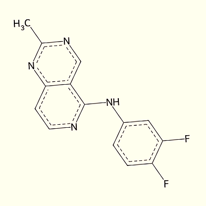 Cc1ncc2c(Nc3ccc(F)c(F)c3)nccc2n1